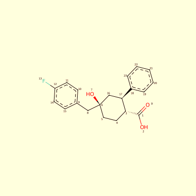 O=C(O)[C@@H]1CC[C@](O)(Cc2ccc(F)cc2)C[C@H]1c1ccccc1